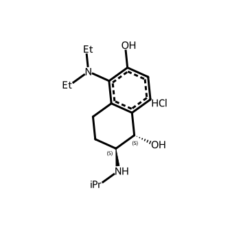 CCN(CC)c1c(O)ccc2c1CC[C@H](NC(C)C)[C@H]2O.Cl